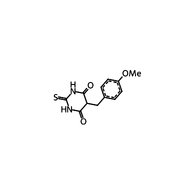 COc1ccc(CC2C(=O)NC(=S)NC2=O)cc1